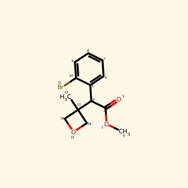 COC(=O)C(c1ccccc1Br)C1(C)COC1